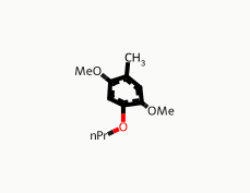 CCCOc1cc(OC)c(C)cc1OC